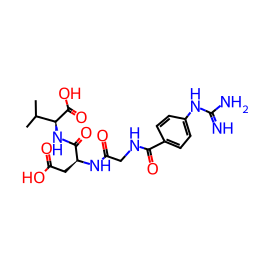 CC(C)[C@H](NC(=O)[C@H](CC(=O)O)NC(=O)CNC(=O)c1ccc(NC(=N)N)cc1)C(=O)O